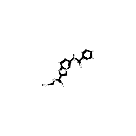 CCOC(=O)c1cn2cc(NC(=O)c3ccccc3)ccc2n1